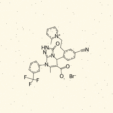 COC(=O)C1=C(C)N(c2cccc(C(F)(F)F)c2)c2n[nH]c(=O)n2C1c1ccc(C#N)cc1CC[n+]1ccccc1C.[Br-]